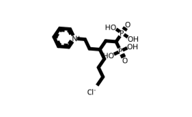 CCCCC(CC[n+]1ccccc1)CC(P(=O)(O)O)P(=O)(O)O.[Cl-]